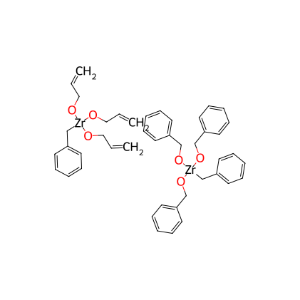 C=CC[O][Zr]([CH2]c1ccccc1)([O]CC=C)[O]CC=C.c1ccc(C[O][Zr]([CH2]c2ccccc2)([O]Cc2ccccc2)[O]Cc2ccccc2)cc1